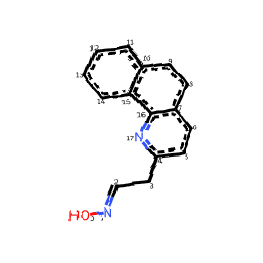 ON=CCc1ccc2ccc3ccccc3c2n1